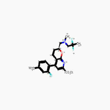 CCOC(=O)c1cc(-c2ccc(C)cc2F)c2c(n1)O[C@H](CN(C)CC(C)(F)F)CC2